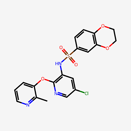 Cc1ncccc1Oc1ncc(Cl)cc1NS(=O)(=O)c1ccc2c(c1)OCCO2